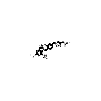 CCCCCNc1nc(N)nc2ccn(Cc3ccc(Cn4cc(CNC(C)C)nn4)cc3OC)c12